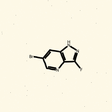 Fc1n[nH]c2cc(Br)cnc12